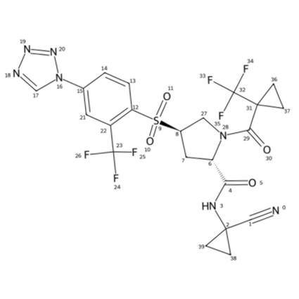 N#CC1(NC(=O)[C@@H]2C[C@@H](S(=O)(=O)c3ccc(-n4cnnn4)cc3C(F)(F)F)CN2C(=O)C2(C(F)(F)F)CC2)CC1